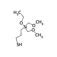 CCO[Si](CCCS)(COC)COC